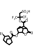 CCC1CC2CCC(C(=O)OC3C4CC5C3OC(=O)C5C4C(=O)OC(CS(=O)(=O)O)(C(F)(F)F)C(F)(F)F)(C1)C2